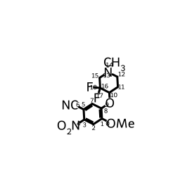 COc1cc([N+](=O)[O-])c(C#N)cc1OC1CCN(C)CC1(F)F